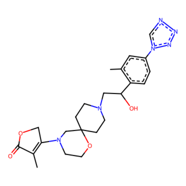 CC1=C(N2CCOC3(CCN(CC(O)c4ccc(-n5cnnn5)cc4C)CC3)C2)COC1=O